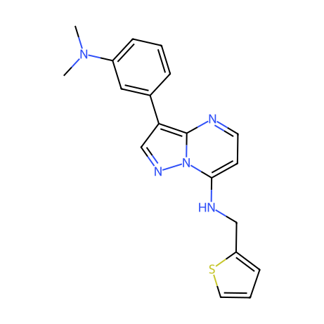 CN(C)c1cccc(-c2cnn3c(NCc4cccs4)ccnc23)c1